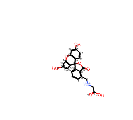 O=C(O)CNCc1cccc2c1C(=O)OC21c2ccc(O)cc2Oc2cc(O)ccc21